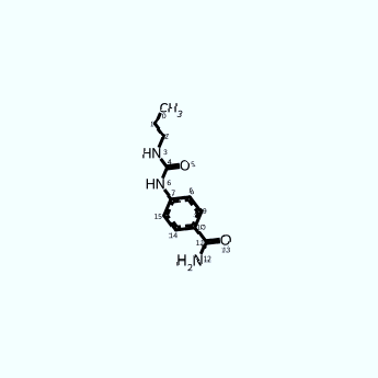 CCCNC(=O)Nc1ccc(C(N)=O)cc1